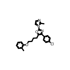 Cc1ccccc1OCCCCc1oc(-n2ccnc2C)nc1-c1ccc(Cl)cc1